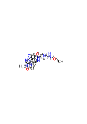 C#CCOCCNCCN1CCC(NC(=O)c2ccc(Nc3ncc4c(n3)N(C3CCCC3)[C@H](CC)C(=O)N4C)c(OC)c2)CC1